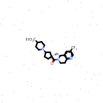 CCOC(=O)C1CCN(C2CC[C@@](C(=O)N3CCc4ncc(C(F)(F)F)cc4C3)(C(C)C)C2)CC1